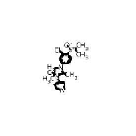 CC1N(c2ccc([S+]([O-])C(C)C)c(Cl)c2)CC(C)(C)N1c1ccncc1